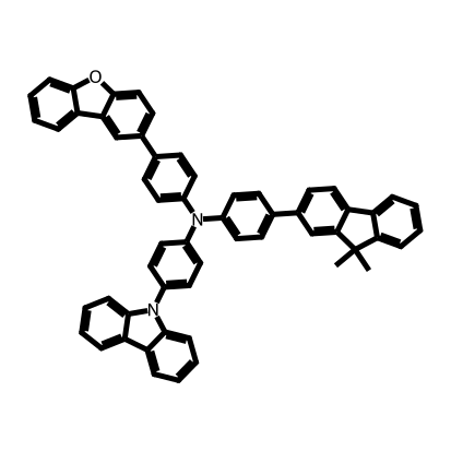 CC1(C)c2ccccc2-c2ccc(-c3ccc(N(c4ccc(-c5ccc6oc7ccccc7c6c5)cc4)c4ccc(-n5c6ccccc6c6ccccc65)cc4)cc3)cc21